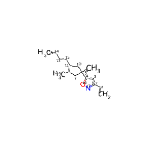 C=Cc1cc(C(C)(CCC)CCCCCC)on1